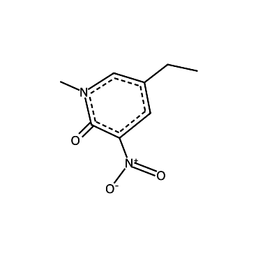 CCc1cc([N+](=O)[O-])c(=O)n(C)c1